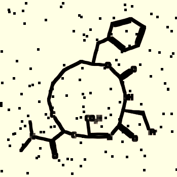 CC(C)C[C@@H]1NC(=O)OC(Cc2ccccc2)CCCCCC(C(=O)N(C)C)C/C(C(=O)O)=N/C1=O